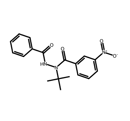 CC(C)(C)N(NC(=O)c1ccccc1)C(=O)c1cccc([N+](=O)[O-])c1